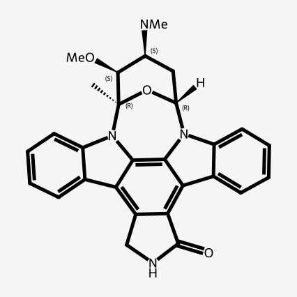 CN[C@H]1C[C@H]2O[C@](C)([C@H]1OC)n1c3ccccc3c3c4c(c5c6ccccc6n2c5c31)C(=O)NC4